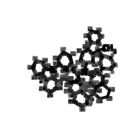 CC1(c2ccccc2)c2ccccc2-c2ccc(N(c3ccc(-c4cccc5c6ccccc6n(-c6ccccc6)c45)cc3)c3ccccc3-c3cccc4cccc(C5CCCCC5)c34)cc21